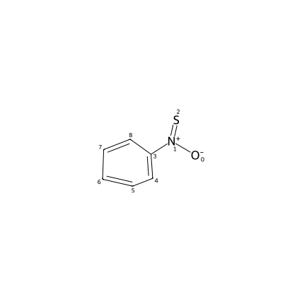 [O-][N+](=S)c1ccccc1